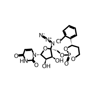 [N-]=[N+]=N[C@]1(COP2(=O)OCC[C@@H](c3ccccc3Cl)O2)O[C@@H](n2ccc(=O)[nH]c2=O)[C@H](O)[C@@H]1O